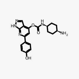 N[C@H]1CC[C@@H](NC(=O)Oc2cc(-c3ccc(O)cc3)nc3[nH]ncc23)CC1